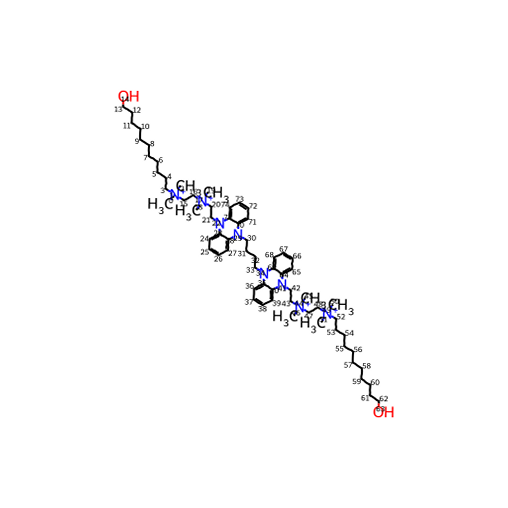 C[N+](C)(CCCCCCCCCCCO)CC[N+](C)(C)CCN1c2ccccc2N(CCCCN2c3ccccc3N(CC[N+](C)(C)CC[N+](C)(C)CCCCCCCCCCCO)c3ccccc32)c2ccccc21